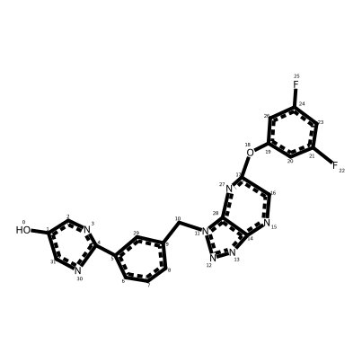 Oc1cnc(-c2cccc(Cn3nnc4ncc(Oc5cc(F)cc(F)c5)nc43)c2)nc1